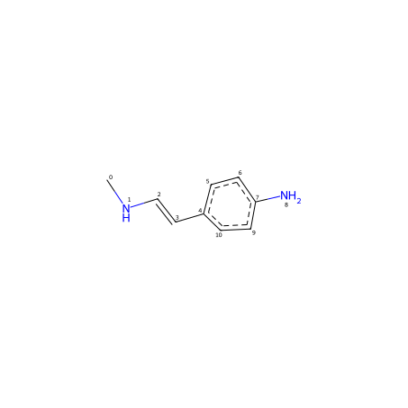 CNC=Cc1ccc(N)cc1